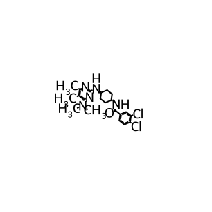 Cc1nc(NC2CCC(NC(=O)c3ccc(Cl)c(Cl)c3)CC2)nc(N(C)C)c1C